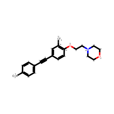 O=[N+]([O-])c1ccc(C#Cc2ccc(OCCN3CCOCC3)c(C(F)(F)F)c2)cc1